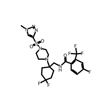 Cn1cc(S(=O)(=O)N2CCN(C3(CNC(=O)c4ccc(F)cc4C(F)(F)F)CCC(F)(F)CC3)CC2)nn1